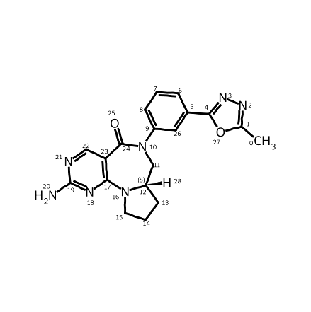 Cc1nnc(-c2cccc(N3C[C@@H]4CCCN4c4nc(N)ncc4C3=O)c2)o1